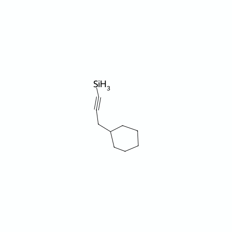 [SiH3]C#CCC1CCCCC1